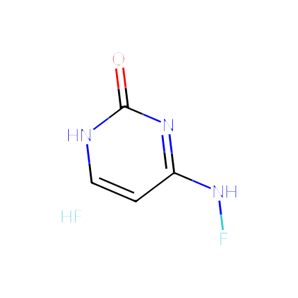 F.O=c1nc(NF)cc[nH]1